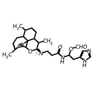 CC1CCC2C(C)/C(=N\CCC(=O)NC(Cc3cnc[nH]3)OC=O)OC3OC4(C)CCC1C32OO4